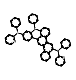 c1ccc(B(c2ccc3c(c2)N(c2ccccc2)c2cccc4c2c-3cc2c3ccccc3c(B(c3ccccc3)c3ccccn3)cc42)c2ccccn2)cc1